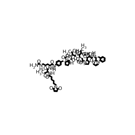 CC[C@H](C)[C@@H]([C@@H](CC(=O)N1CCCC1[C@H](OC)[C@@H](C)C(=O)N[C@H](Cc1ccccc1)c1ncccn1)OC)N(C)C(=O)C(NC(=O)[C@@H]1[C@H]2CC[C@](Cc3ccc(NC(=O)C(CCCNC(N)=O)NC(=O)C(NC(=O)CCCCCN4C(=O)C=CC4=O)C(C)C)cc3)(C2)N1C(=O)O)C(C)C